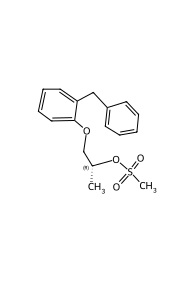 C[C@H](COc1ccccc1Cc1ccccc1)OS(C)(=O)=O